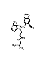 C#Cc1cc2c(cc1Sc1nc3c(N)ncnc3n1CCC(=O)NCC(C)C)OCO2